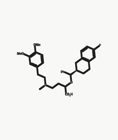 COc1ccc(CCN(C)CCC(OC(C(C)C)[C@@H]2CCc3cc(F)ccc3C2)C(=O)O)cc1OC